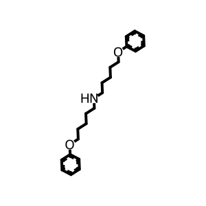 c1ccc(OCCCCCNCCCCCOc2ccccc2)cc1